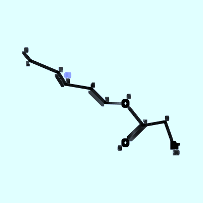 CC/C=C/C=COC(=O)CBr